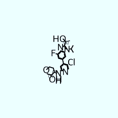 CC(C)n1c([C@H](C)O)nc2c(F)cc(-c3cc(N[C@@H]4CCOC[C@H]4O)ncc3Cl)cc21